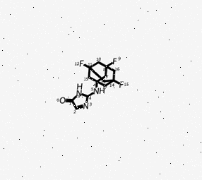 O=C1C=NC(NC23CC4(F)CC(F)(CC(F)(C4)C2)C3)N1